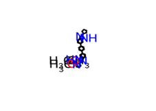 CC(C)(C)OC(=O)N1CCC[C@H]1c1nc2ccc(-c3ccc(-c4ccc5nc(C6CCCC6)[nH]c5c4)cc3)cc2[nH]1